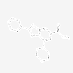 COC(=O)c1cc(N2CCOCC2)c2nc(-c3ccccc3)oc2c1